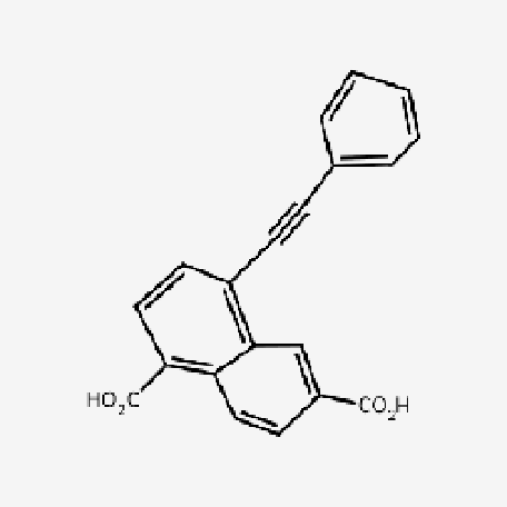 O=C(O)c1ccc2c(C(=O)O)ccc(C#Cc3ccccc3)c2c1